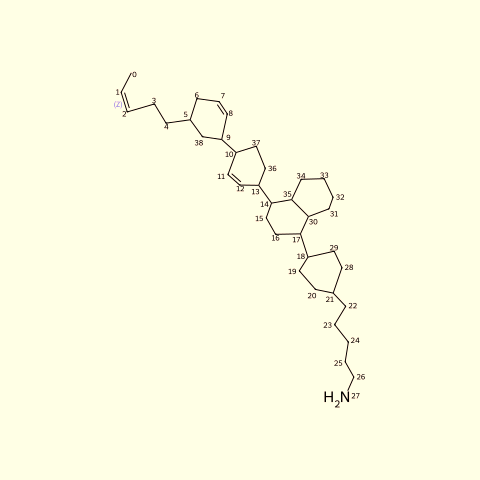 C/C=C\CCC1CC=CC(C2C=CC(C3CCC(C4CCC(CCCCCN)CC4)C4CCCCC34)CC2)C1